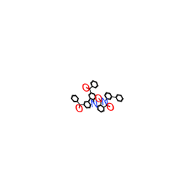 O=C(c1ccccc1)c1ccc2c(c1)c1cc(C(=O)c3ccccc3)ccc1n2-c1cccc2c1C(=O)N(c1cccc(-c3ccccc3)c1)C2=O